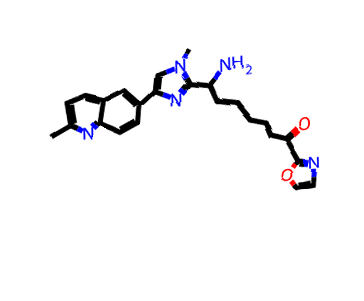 Cc1ccc2cc(-c3cn(C)c(C(N)CCCCCC(=O)c4ncco4)n3)ccc2n1